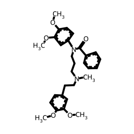 COc1ccc(CCN(C)CCCN(C(=O)c2ccccc2)c2ccc(OC)c(OC)c2)cc1OC